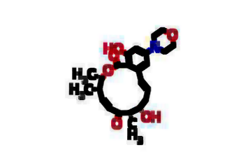 C[C@@H]1/C=C\C(=O)[C@@H](C)[C@@H](O)C/C=C/c2cc(N3CCOCC3)cc(O)c2C(=O)O[C@H]1C